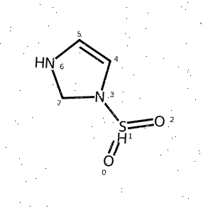 O=[SH](=O)N1C=CNC1